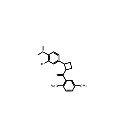 COc1ccc(OC)c(C(=O)C2CCC2c2ccc(N(C)C)c(O)c2)c1